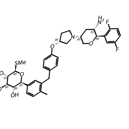 CS[C@H]1O[C@@H](c2ccc(C)c(Cc3ccc(O[C@@H]4CCN([C@H]5CO[C@H](c6cc(F)ccc6F)[C@@H](N)C5)C4)cc3)c2)[C@H](O)[C@@H](O)[C@@H]1O